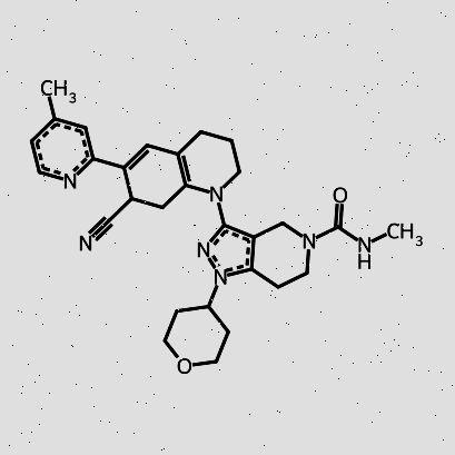 CNC(=O)N1CCc2c(c(N3CCCC4=C3CC(C#N)C(c3cc(C)ccn3)=C4)nn2C2CCOCC2)C1